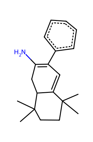 CC1(C)CCC(C)(C)C2CC(N)=C(c3ccccc3)C=C21